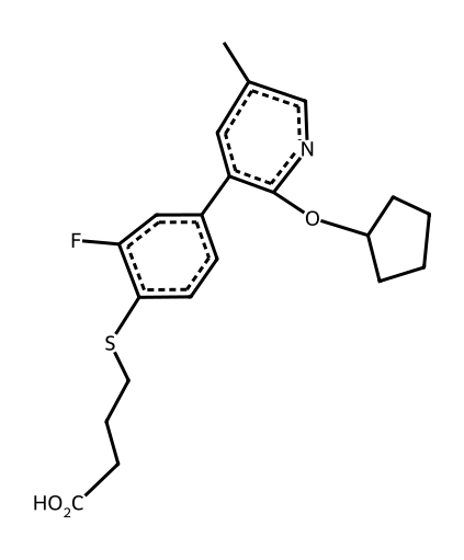 Cc1cnc(OC2CCCC2)c(-c2ccc(SCCCC(=O)O)c(F)c2)c1